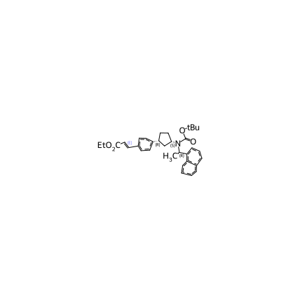 CCOC(=O)/C=C/c1ccc([C@@H]2CC[C@H](N(C(=O)OC(C)(C)C)[C@H](C)c3cccc4ccccc34)C2)cc1